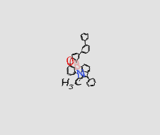 Cc1c(-c2ccccc2)c2cccc3c2n1-c1cccc2c1B3c1cc(-c3cccc(-c4ccccc4)c3)ccc1O2